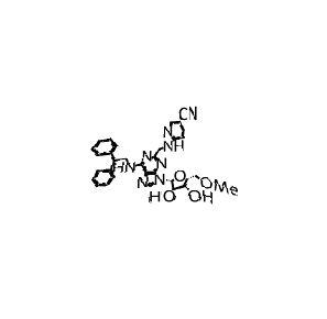 COC[C@H]1O[C@@H](n2cnc3c(NCC(c4ccccc4)c4ccccc4)nc(CNc4ccc(C#N)cn4)nc32)[C@H](O)[C@@H]1O